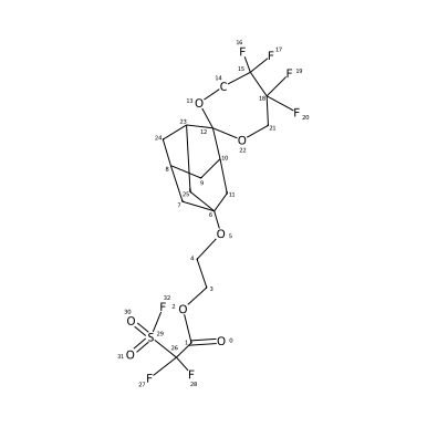 O=C(OCCOC12CC3CC(C1)C1(OCC(F)(F)C(F)(F)CO1)C(C3)C2)C(F)(F)S(=O)(=O)F